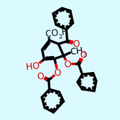 CC1(OC(=O)c2ccccc2)C(OC(=O)c2ccccc2)=C(O)C=C(C(=O)O)C1C(=O)c1ccccc1